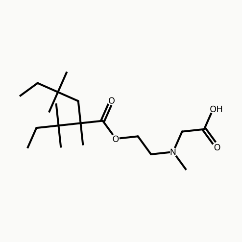 CCC(C)(C)CC(C)(C(=O)OCCN(C)CC(=O)O)C(C)(C)CC